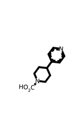 O=C(O)N1CCC(c2ccncc2)CC1